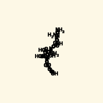 Cc1cc(/N=N/c2ccc(NS(=O)(=O)c3ccc(/N=N/c4cc(S(=O)(=O)O)c5cc(SOOO)c(/N=N/c6ccc(S(=O)(=O)CCOSOOO)cc6)c(O)c5c4N)cc3)cc2)c(N)cc1N